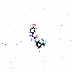 O=C(Nc1cccc(C(F)(F)F)c1)NC1CCC(O)CC1